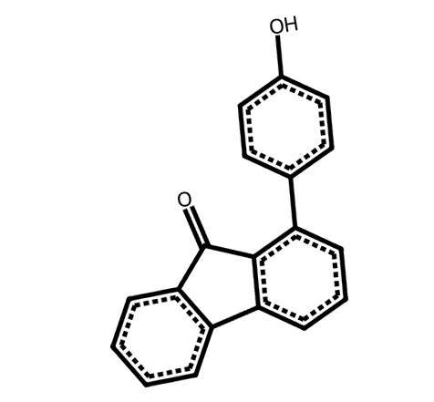 O=C1c2ccccc2-c2cccc(-c3ccc(O)cc3)c21